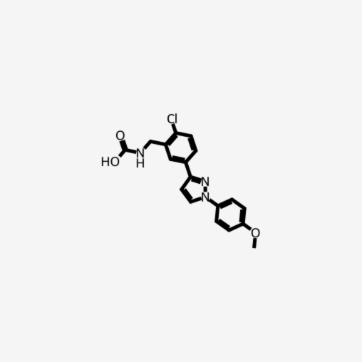 COc1ccc(-n2ccc(-c3ccc(Cl)c(CNC(=O)O)c3)n2)cc1